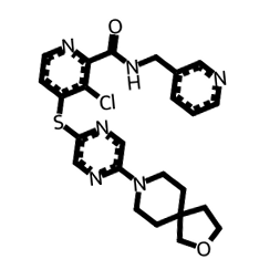 O=C(NCc1cccnc1)c1nccc(Sc2cnc(N3CCC4(CCOC4)CC3)cn2)c1Cl